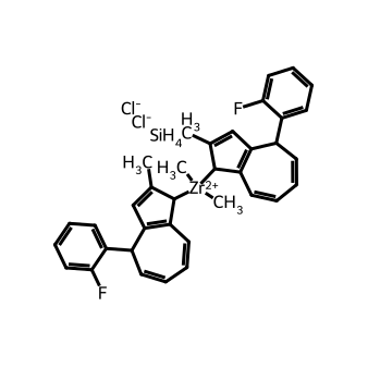 CC1=CC2=C(C=CC=CC2c2ccccc2F)[CH]1[Zr+2]([CH3])([CH3])[CH]1C(C)=CC2=C1C=CC=CC2c1ccccc1F.[Cl-].[Cl-].[SiH4]